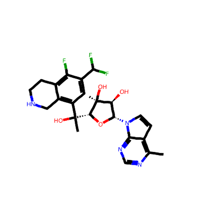 Cc1ncnc2c1ccn2[C@@H]1O[C@H](C(C)(O)c2cc(C(F)F)c(F)c3c2CNCC3)[C@@](C)(O)[C@H]1O